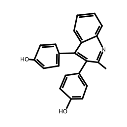 Cc1nc2ccccc2c(-c2ccc(O)cc2)c1-c1ccc(O)cc1